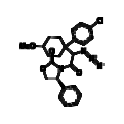 COC1CCC(c2ccc(Cl)cc2)(C(N=[N+]=[N-])C(=O)N2C(=O)OC[C@@H]2c2ccccc2)CC1